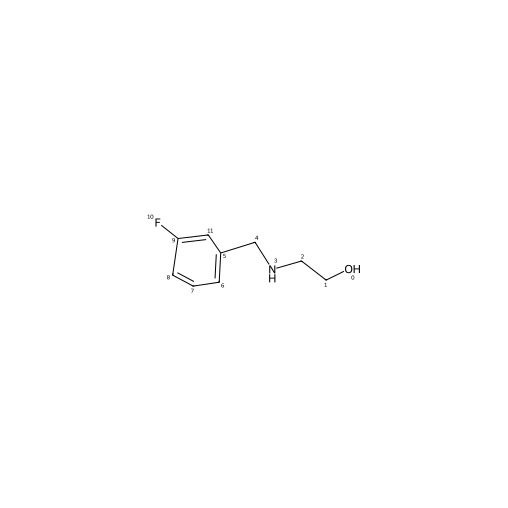 OCCNCc1cccc(F)c1